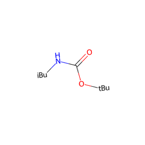 CCC(C)NC(=O)OC(C)(C)C